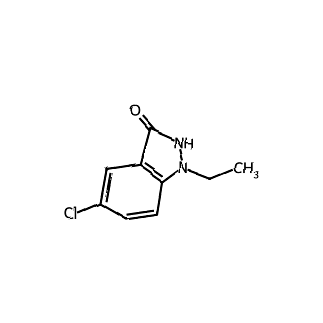 CCn1[nH]c(=O)c2cc(Cl)ccc21